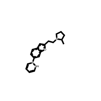 CC1CCCN1CCc1cc2ccc(N3C=CC=CN3)cc2o1